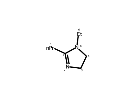 CCCC1=NCCN1CC